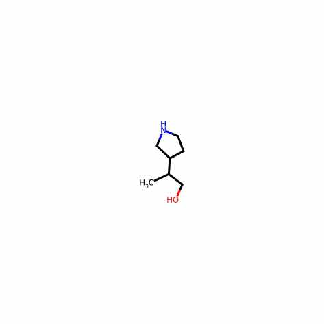 CC(CO)C1CCNC1